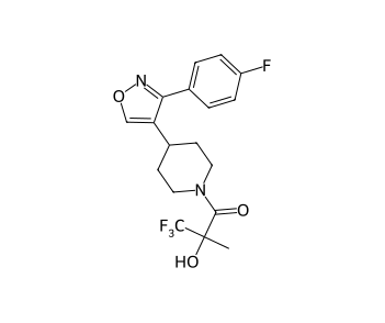 CC(O)(C(=O)N1CCC(c2conc2-c2ccc(F)cc2)CC1)C(F)(F)F